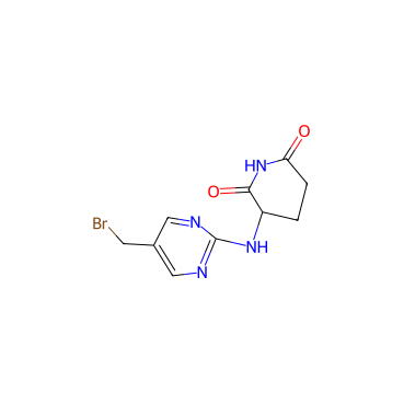 O=C1CCC(Nc2ncc(CBr)cn2)C(=O)N1